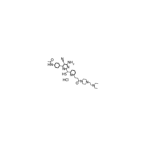 CCN(CC)CCN1CCN(C(=O)CCc2cccc(C(S)c3nc(N)c(C#N)c(-c4ccc(NC(C)=O)cc4)n3)n2)CC1.Cl